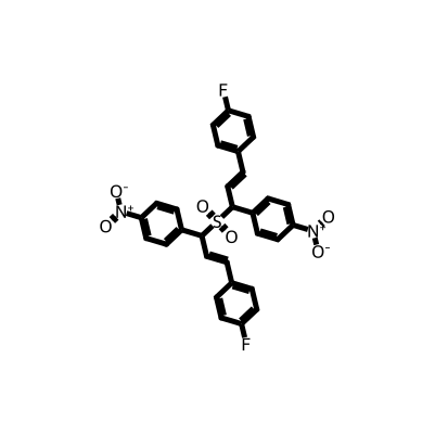 O=[N+]([O-])c1ccc(C(C=Cc2ccc(F)cc2)S(=O)(=O)C(C=Cc2ccc(F)cc2)c2ccc([N+](=O)[O-])cc2)cc1